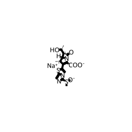 C[C@@H](O)[C@H]1C(=O)N2C(C(=O)[O-])=C(c3cn4c([S+](C)[O-])ncc4s3)[C@H](C)[C@H]12.[Na+]